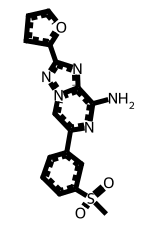 CS(=O)(=O)c1cccc(-c2cn3nc(-c4ccco4)nc3c(N)n2)c1